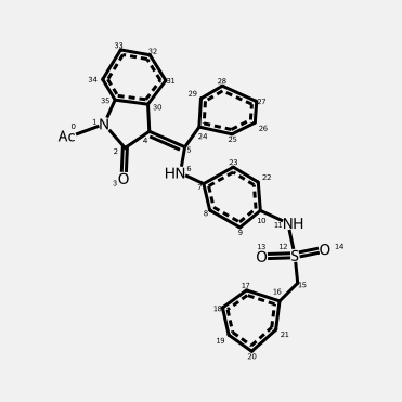 CC(=O)N1C(=O)/C(=C(\Nc2ccc(NS(=O)(=O)Cc3ccccc3)cc2)c2ccccc2)c2ccccc21